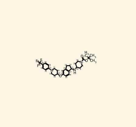 CC(C)(C)OC(=O)N1CCC(NC2CCc3cc(OC4CCN(c5ccc(C(F)(F)F)cc5)CC4)ccc32)CC1